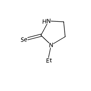 CCN1CCNC1=[Se]